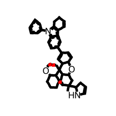 CC1(C2CC=CN2)C=CC2C(C1)OC1C=CC(c3ccc4c(c3)c3c(n4-c4ccccc4)CCC=C3)=CC1C21C2CCCC=C2OC2CCCCC21